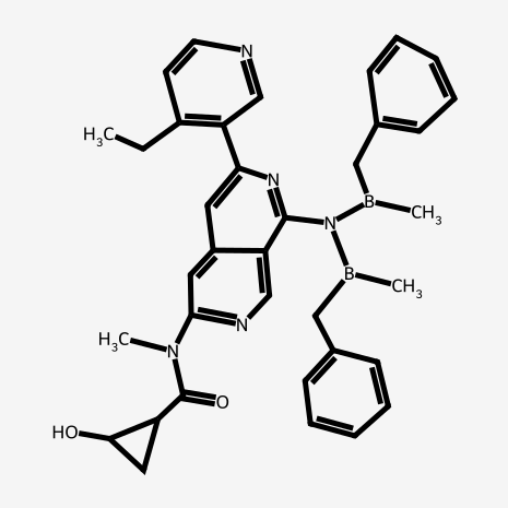 CCc1ccncc1-c1cc2cc(N(C)C(=O)C3CC3O)ncc2c(N(B(C)Cc2ccccc2)B(C)Cc2ccccc2)n1